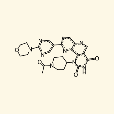 CC(=O)N1CCC(n2c(=O)[nH]c(=O)c3cnc4ccc(-c5cnc(N6CCOCC6)nc5)nc4c32)CC1